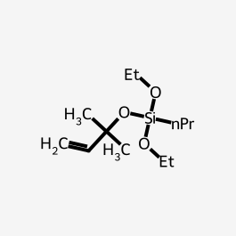 C=CC(C)(C)O[Si](CCC)(OCC)OCC